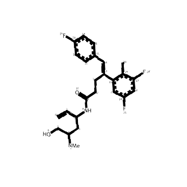 C=CC(CC(CO)NC)NC(=O)CC/C(=C\c1ccc(F)cc1)c1cc(F)cc(F)c1C